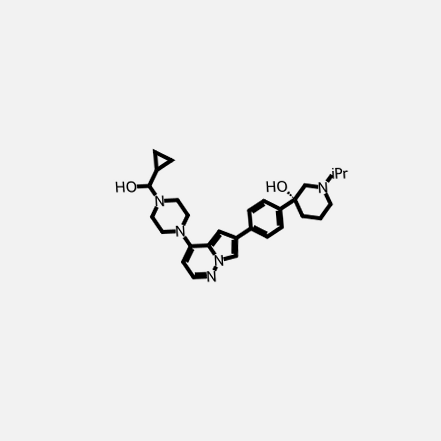 CC(C)N1CCC[C@@](O)(c2ccc(-c3cc4c(N5CCN(C(O)C6CC6)CC5)ccnn4c3)cc2)C1